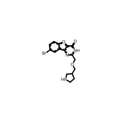 O=c1[nH]c(COCC2CCNC2)nc2c1oc1ccc(Br)cc12